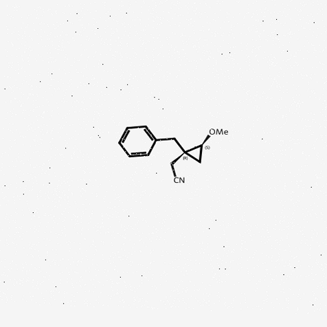 CO[C@H]1C[C@]1(CC#N)Cc1ccccc1